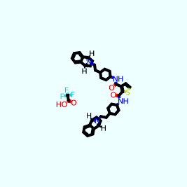 O=C(NC1CCC(CCN2[C@@H]3CC[C@H]2c2ccccc23)CC1)c1ccsc1C(=O)NC1CCC(CCN2[C@@H]3CC[C@H]2c2ccccc23)CC1.O=C(O)C(F)(F)F